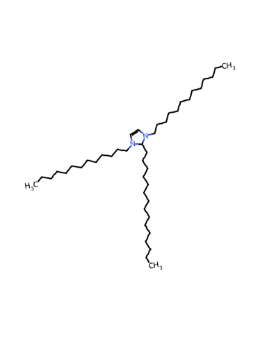 CCCCCCCCCCCCCCCC1N(CCCCCCCCCCCCC)C=CN1CCCCCCCCCCCCC